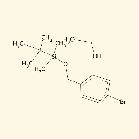 CC(C)(C)[Si](C)(C)OCc1ccc(Br)cc1.CCO